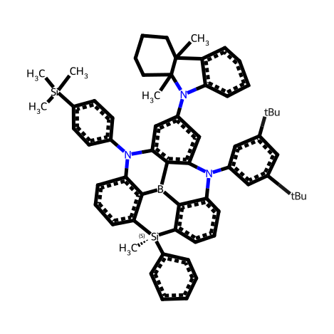 CC(C)(C)c1cc(N2c3cc(N4c5ccccc5C5(C)CCCCC45C)cc4c3B3c5c(cccc5[Si@](C)(c5ccccc5)c5cccc2c53)N4c2ccc([Si](C)(C)C)cc2)cc(C(C)(C)C)c1